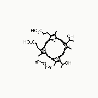 CC1=C(CCC(=O)O)c2cc3[nH]c(cc4nc(cc5[nH]c(cc1n2)c(C(C)O)c5C)C(C(C)O)=C4C)c(C)c3CCC(=O)O.CCCOCCC